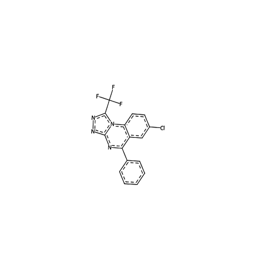 FC(F)(F)c1nnc2nc(-c3ccccc3)c3cc(Cl)ccc3n12